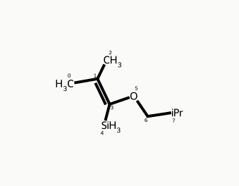 CC(C)=C([SiH3])OCC(C)C